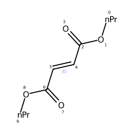 CCCOC(=O)/C=C/C(=O)OCCC